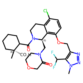 Cn1nnc(COc2ccc(Cl)c3c2[C@@H](CN2CCOCC2=O)N(C(=O)C2CCCC[C@@]2(C)C(=O)O)CC3)c1C(F)F